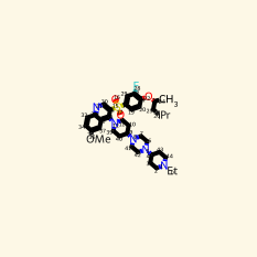 CCN1CCC(N2CCN(C3CCN(c4c(S(=O)(=O)c5ccc(OC(C)CC(C)C)c(F)c5)cnc5ccc(OC)cc45)CC3)CC2)CC1